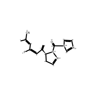 C=C(/C=C(F)\C=C(/C)C#N)[C@@H]1CC=NN1C(=O)n1ccnc1